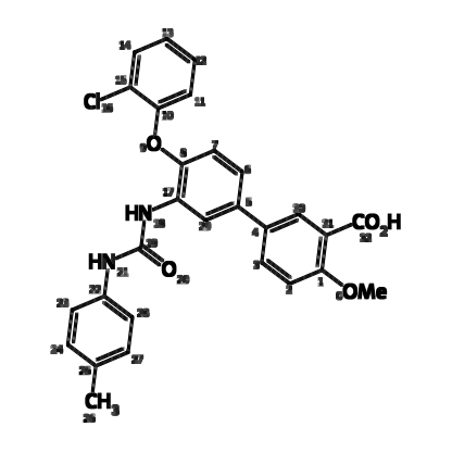 COc1ccc(-c2ccc(Oc3ccccc3Cl)c(NC(=O)Nc3ccc(C)cc3)c2)cc1C(=O)O